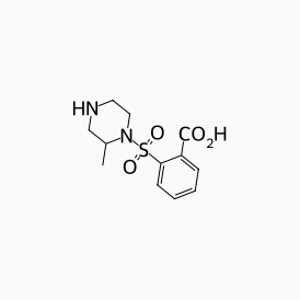 CC1CNCCN1S(=O)(=O)c1ccccc1C(=O)O